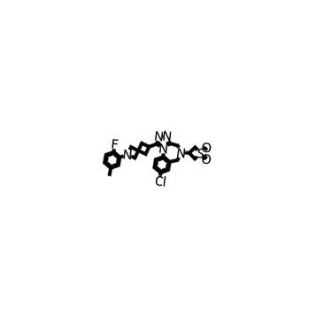 Cc1ccc(F)c(N2CC3(CC(c4nnc5n4-c4ccc(Cl)cc4CN(C4CS(=O)(=O)C4)C5)C3)C2)c1